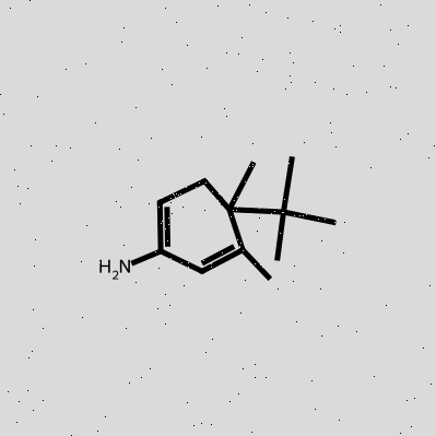 CC1=CC(N)=CCC1(C)C(C)(C)C